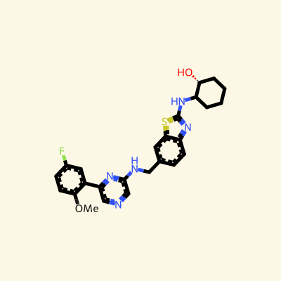 COc1ccc(F)cc1-c1cncc(NCc2ccc3nc(NC4CCCC[C@H]4O)sc3c2)n1